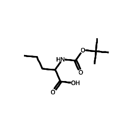 CCCC(NC(=O)OC(C)(C)C)C(=O)O